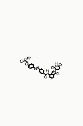 CCCC(Cl)COc1ccc(/N=N/c2ccc(C(=O)Nc3cccc4c3CN(C3CCC(=O)NC3=O)C4=O)cc2)cc1